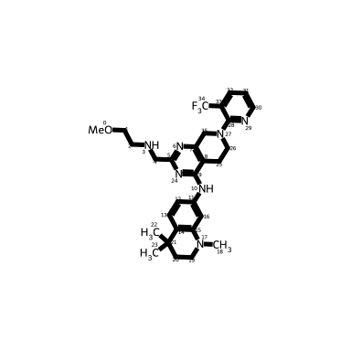 COCCNCc1nc2c(c(Nc3ccc4c(c3)N(C)CCC4(C)C)n1)CCN(c1ncccc1C(F)(F)F)C2